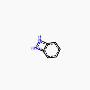 c1ccc2[nH][nH]c2c1